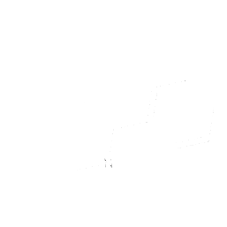 CC#CC(c1ccccc1)N(C)C